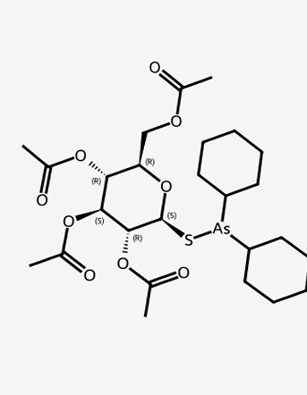 CC(=O)OC[C@H]1O[C@@H](S[As](C2CCCCC2)C2CCCCC2)[C@H](OC(C)=O)[C@@H](OC(C)=O)[C@@H]1OC(C)=O